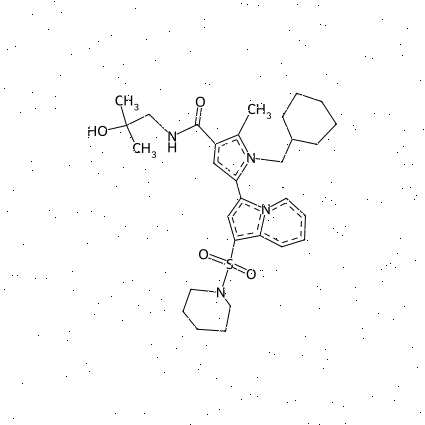 Cc1c(C(=O)NCC(C)(C)O)cc(-c2cc(S(=O)(=O)N3CCCCC3)c3ccccn23)n1CC1CCCCC1